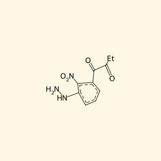 CCC(=O)C(=O)c1cccc(NN)c1[N+](=O)[O-]